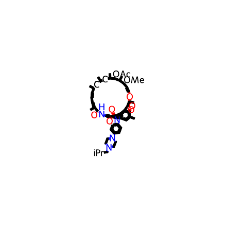 COC1C=COC2(C)Oc3c(C)cc4c(=O)c(c5oc6cc(N7CCN(CC(C)C)CC7)ccc6nc-5c4c3C2=O)NC(=O)C(C)=CC=CC(C)CC(C)CC(C)C(OC(C)=O)C1C